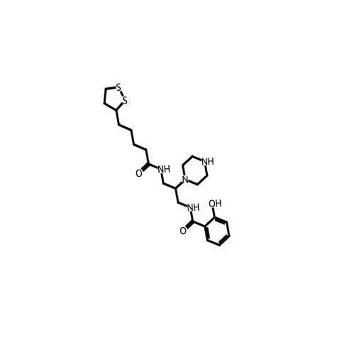 O=C(CCCCC1CCSS1)NCC(CNC(=O)c1ccccc1O)N1CCNCC1